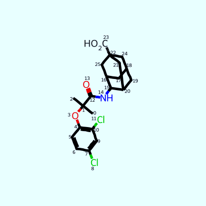 CC(C)(Oc1ccc(Cl)cc1Cl)C(=O)NC1C2CC3CC1CC(C(=O)O)(C3)C2